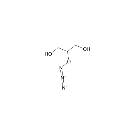 [N-]=[N+]=NOC(CO)CO